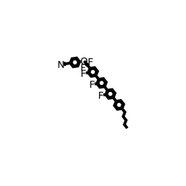 CCCCCc1ccc(-c2ccc(-c3ccc(-c4ccc(C(F)(F)Oc5ccc(C#N)cc5)c(F)c4)c(F)c3)c(F)c2)cc1